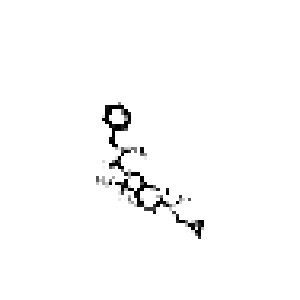 CC1(C)C2=CN=C(N(N)CC3CC3)NC2CN1C(=O)N(N)Cc1ccccc1